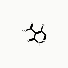 CC(=O)c1c(C)cn[nH]c1=O